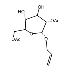 C=CCO[C@@H]1OC(COC(C)=O)[C@H](O)C(O)[C@@H]1OC(C)=O